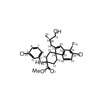 COC(=O)C1(Nc2cccc(Cl)c2)CCC2(CC1)C(C[C@@H](C)CO)=Cc1c2ccc(Cl)c1F